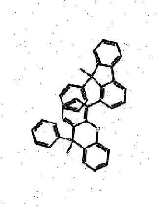 CC1(c2ccccc2)c2ccccc2Oc2c(-c3cccc4c3C(C)(c3ccccc3)c3ccccc3-4)cccc21